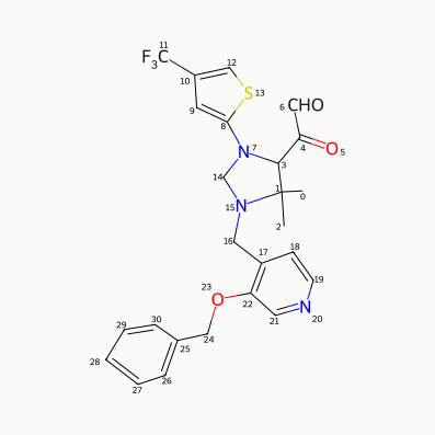 CC1(C)C(C(=O)C=O)N(c2cc(C(F)(F)F)cs2)CN1Cc1ccncc1OCc1ccccc1